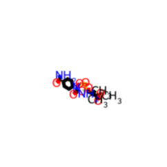 COC(=O)C(C)(C)COS(=O)(=O)ON(C(N)=O)[C@H]1CC[C@H](C(N)=O)CC1